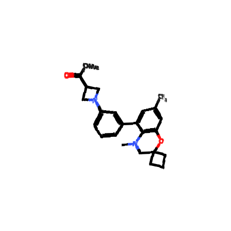 COC(=O)C1CN(c2cccc(-c3cc(C(F)(F)F)cc4c3N(C)CC3(CCC3)O4)c2)C1